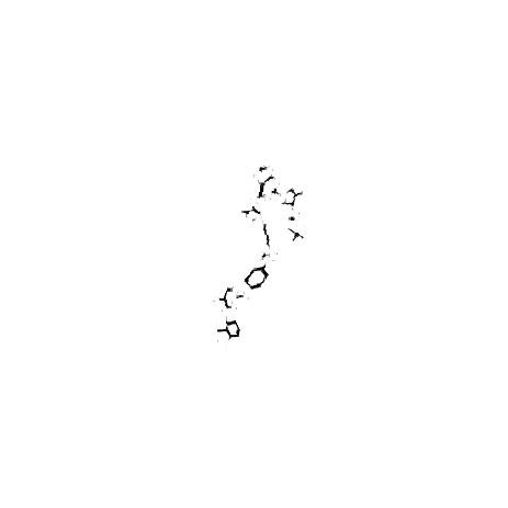 COc1nn(CCCCNS(=O)(=O)c2ccc(Nc3ncc(Br)c(Nc4cccc(F)c4C(N)=O)n3)cc2)cc1Nc1nc(N2CC(F)[C@H](NC(=O)OC(C)(C)C)C2)nc2c1ncn2C